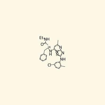 CCNC(=O)C[C@@H](Cc1ccccc1)Nc1cc(C)nc2nc(Nc3cc(Cl)ccc3C)nn12